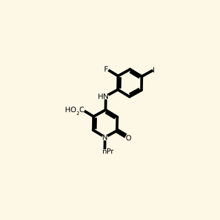 CCCn1cc(C(=O)O)c(Nc2ccc(I)cc2F)cc1=O